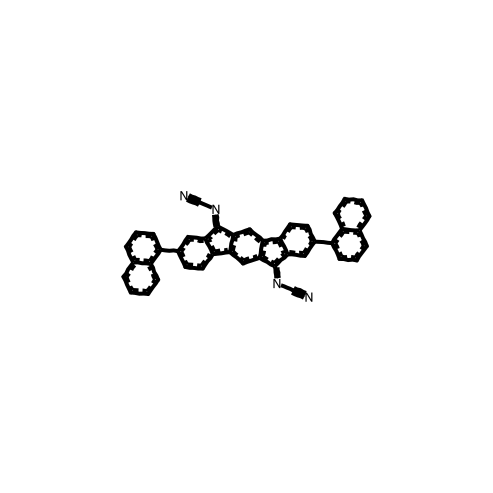 N#C/N=c1\c2cc(-c3cccc4ccccc34)ccc2c2cc3/c(=N/C#N)c4cc(-c5cccc6ccccc56)ccc4c3cc12